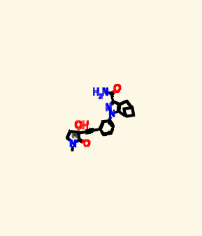 CN1CC[C@@](O)(C#Cc2cccc(-n3nc(C(N)=O)c4c3C3CC(C4)C3)c2)C1=O